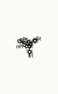 CCCC1=Cc2c(-c3ccc(CC)cc3)cccc2[CH]1[Hf+2]1([CH]2C(CCC)=Cc3c(-c4ccc(CC)cc4)cccc32)[CH2]C[CH2]1.[Cl-].[Cl-]